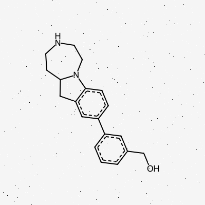 OCc1cccc(-c2ccc3c(c2)CC2CCNCCN32)c1